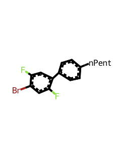 CCCCCc1ccc(-c2cc(F)c(Br)cc2F)cc1